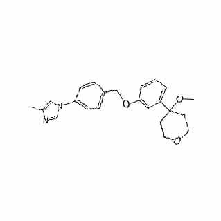 COC1(c2cccc(OCc3ccc(-n4cnc(C)c4)cc3)c2)CCOCC1